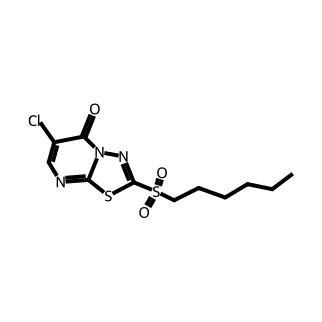 CCCCCCS(=O)(=O)c1nn2c(=O)c(Cl)cnc2s1